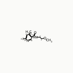 COCCNC(=O)c1cnc(I)cc1C